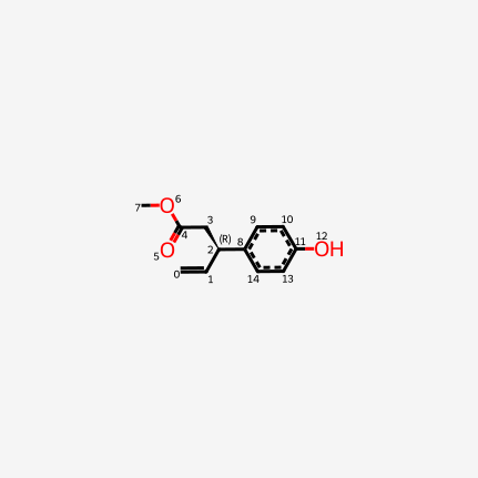 C=C[C@@H](CC(=O)OC)c1ccc(O)cc1